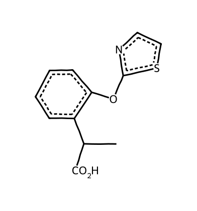 CC(C(=O)O)c1ccccc1Oc1nccs1